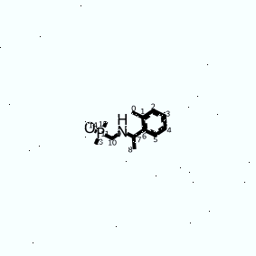 Cc1c[c]ccc1C(C)NCP(C)(C)=O